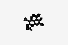 COC(=O)C(Nc1ccc(Br)c(F)c1[N+](=O)[O-])C1CC1